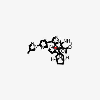 CC(=O)c1c(C2C[C@H]3CC[C@@H](C2)N3C(=O)c2ccn[nH]2)nc2c(-c3ccc(-n4cc(C)cn4)nc3)cnn2c1N